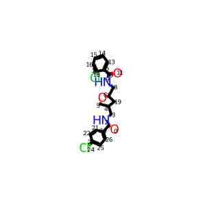 O=C(NCC1COC(CNC(=O)c2ccccc2Cl)C1)c1ccc(Cl)cc1